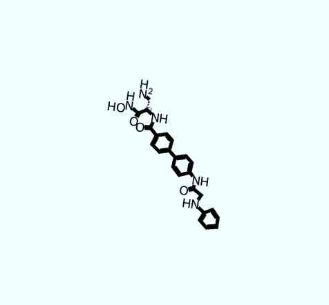 NC[C@H](NC(=O)c1ccc(-c2ccc(NC(=O)CNc3ccccc3)cc2)cc1)C(=O)NO